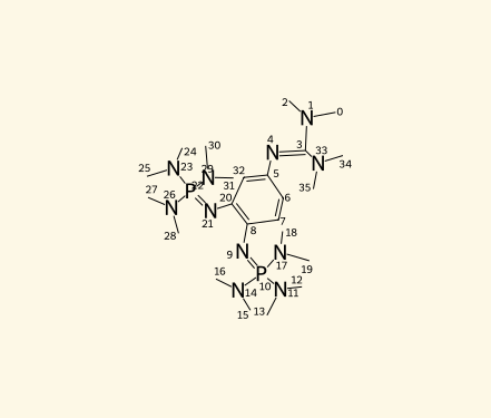 CN(C)C(=Nc1ccc(N=P(N(C)C)(N(C)C)N(C)C)c(N=P(N(C)C)(N(C)C)N(C)C)c1)N(C)C